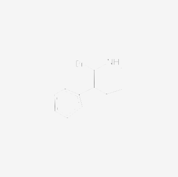 CCC(c1ccccc1)C(N)Br